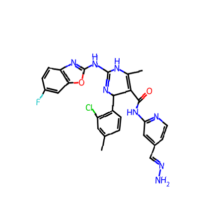 CC1=C(C(=O)Nc2cc(/C=N/N)ccn2)C(c2ccc(C)cc2Cl)N=C(Nc2nc3ccc(F)cc3o2)N1